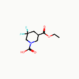 CCOC(=O)C1CN(C(=O)O)CC(F)(F)C1